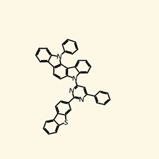 c1ccc(-c2cc(-n3c4ccccc4c4c3ccc3c5ccccc5n(-c5ccccc5)c34)nc(-c3ccc4c(c3)sc3ccccc34)n2)cc1